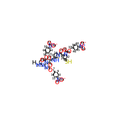 CNC(=NC(=O)OCc1ccc([N+](=O)[O-])cc1)N(CC(=O)N[C@H]1CCN(C(=O)[C@@H]2C[C@H](S)CN2C(=O)OCc2ccc([N+](=O)[O-])cc2)C1)C(=O)OCc1ccc([N+](=O)[O-])cc1